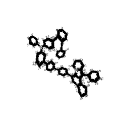 c1ccc(-c2ccccc2-c2ccc(N(c3ccccc3)c3cccc(-c4ccc(-c5ccc(-c6cc7ccccc7c7c(-c8ccccc8)c8ccccn8c67)cc5)cc4)c3)cc2)cc1